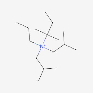 CCC[N+](CC(C)C)(CC(C)C)C(C)(C)CC